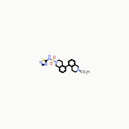 O=C(O)N1CCc2c(cccc2-c2cccc3c2CCN(S(=O)(=O)Nc2ncns2)C3)C1